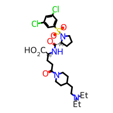 CCN(CC)CCC1CCN(C(=O)CC[C@H](NC(=O)[C@H]2CCCN2S(=O)(=O)c2cc(Cl)cc(Cl)c2)C(=O)O)CC1